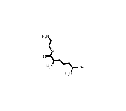 CCCCC(N)CCCC(N)C(=O)OCCN